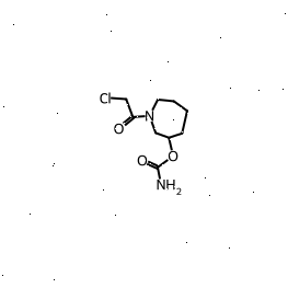 NC(=O)OC1CCCCN(C(=O)CCl)C1